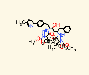 COC(=O)NC(C(=O)NC(Cc1ccccc1)CC(O)C(Cc1ccc(-c2ccc(C)cn2)cc1)NC(=O)C(NC(=O)OC)C(C)(C)C)C(C)(C)C